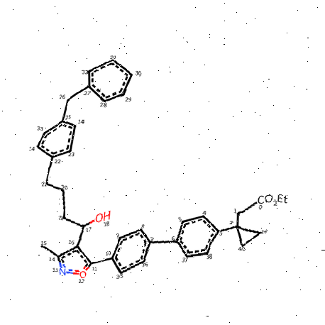 CCOC(=O)CC1(c2ccc(-c3ccc(-c4onc(C)c4C(O)CCCc4ccc(Cc5ccccc5)cc4)cc3)cc2)CC1